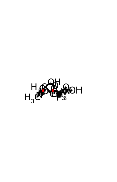 C/C(=C\c1cc(F)cc(N2CCN(CCO)C(=O)C2)c1)[C@H]1OC(=O)C[C@H](O)CC[C@H](C)[C@H](OC(=O)N2CCN(C)CC2)/C=C/[C@@H]1C